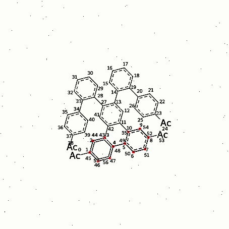 CC(=O)c1ccc(-c2ccccc2-c2cc(-c3ccccc3-c3ccc(C(C)=O)cc3)c(-c3ccccc3-c3ccc(C(C)=O)cc3)cc2-c2ccccc2-c2ccc(C(C)=O)cc2)cc1